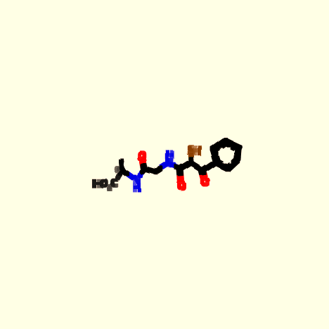 C[C@@H](NC(=O)CNC(=O)C(S)C(=O)c1ccccc1)C(=O)O